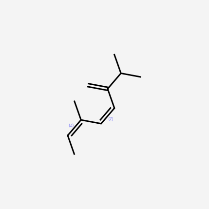 C=C(/C=C\C(C)=C/C)C(C)C